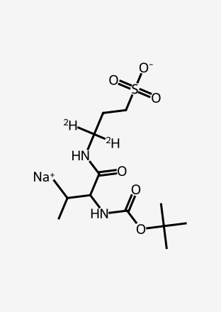 [2H]C([2H])(CCS(=O)(=O)[O-])NC(=O)C(NC(=O)OC(C)(C)C)C(C)C.[Na+]